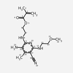 C=C(C)C(=O)OCCNc1nc(NCCOC)c(C#N)c(C)c1N